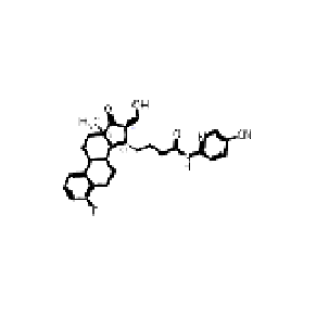 C[C@]12CCC3c4cccc(F)c4CCC3C1[C@H](CCCC(=O)Nc1ccc(C#N)cn1)/C(=C/O)C2=O